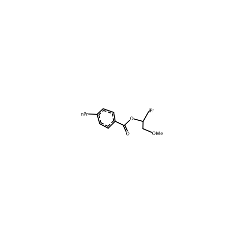 CCCc1ccc(C(=O)OC(COC)C(C)C)cc1